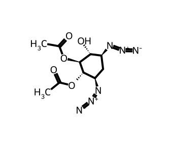 CC(=O)O[C@@H]1[C@@H](OC(C)=O)[C@H](O)[C@@H](N=[N+]=[N-])C[C@H]1N=[N+]=[N-]